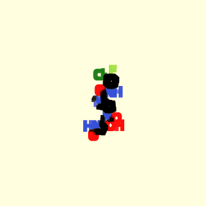 Cn1cc2c(c1C(=O)Nc1ccc(F)c(Cl)c1)CCC2N(C[C@@H]1CCC(=O)N1)C(=O)O